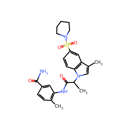 Cc1ccc(C(N)=O)cc1NC(=O)C(C)n1cc(C)c2cc(S(=O)(=O)N3CCCCC3)ccc21